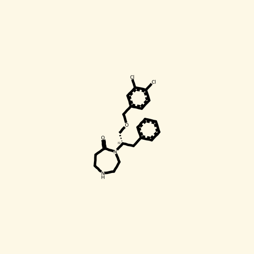 O=C1CCNCCN1[C@H](COCc1ccc(Cl)c(Cl)c1)Cc1ccccc1